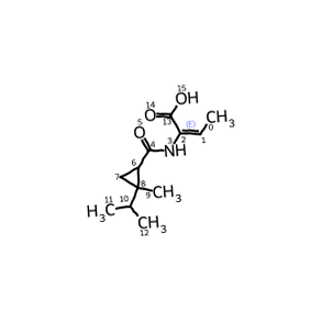 C/C=C(/NC(=O)C1CC1(C)C(C)C)C(=O)O